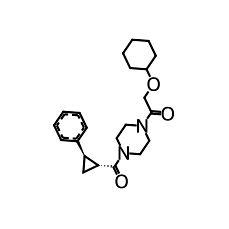 O=C(COC1CCCCC1)N1CCN(C(=O)[C@@H]2C[C@H]2c2ccccc2)CC1